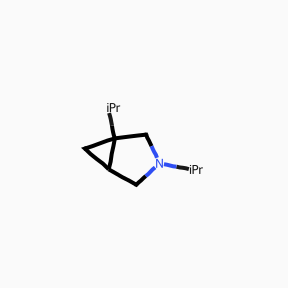 CC(C)N1CC2CC2(C(C)C)C1